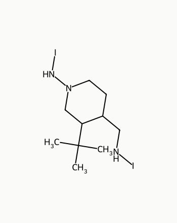 CC(C)(C)C1CN(NI)CCC1CNI